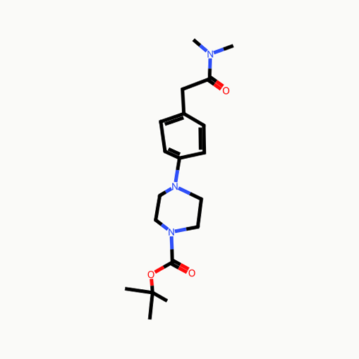 CN(C)C(=O)Cc1ccc(N2CCN(C(=O)OC(C)(C)C)CC2)cc1